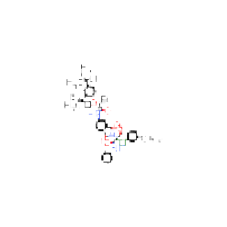 CCC(Oc1ccc(C(C)(C)CC)cc1C(C)(C)CC)C(=O)Nc1ccc2c(c1)C(=O)N(C(Cl)(C(=O)Nc1ccccc1)C(=O)c1ccc(OC)cc1)C2=O